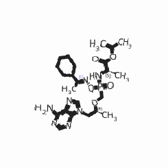 C/C(=N\OP(=O)(CO[C@H](C)Cn1cnc2c(N)ncnc21)N[C@@H](C)C(=O)OC(C)C)C1CCCCC1